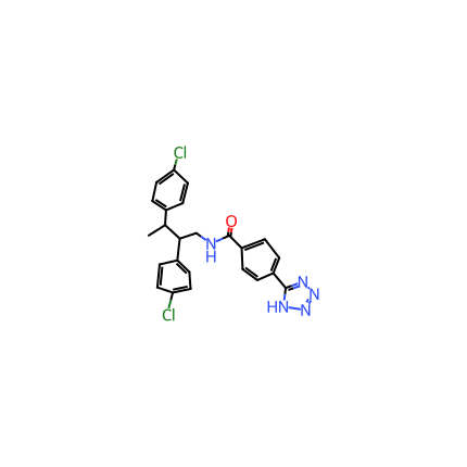 CC(c1ccc(Cl)cc1)C(CNC(=O)c1ccc(-c2nnn[nH]2)cc1)c1ccc(Cl)cc1